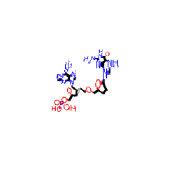 Nc1nc2c(c(=O)[nH]1)NCN2C1CCC(COCC[C@@H]2CC(COP(=O)(O)O)OC2n2cnc3c(N)ncnc32)O1